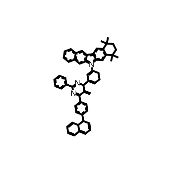 C=C1C(c2ccc(C3C=CC=C4C=CC=CC43)cc2)=NC(c2ccccc2)=NC1C1=CCCC(n2c3cc4c(cc3c3cc5ccccc5cc32)C(C)(C)CCC4(C)C)=C1